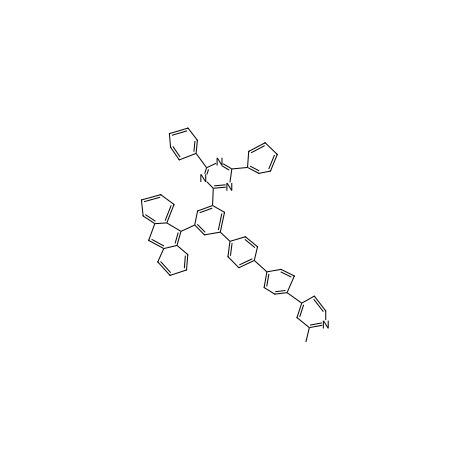 Cc1cc(-c2ccc(-c3ccc(-c4cc(-c5nc(-c6ccccc6)nc(-c6ccccc6)n5)cc(-c5c6ccccc6cc6ccccc56)c4)cc3)cc2)ccn1